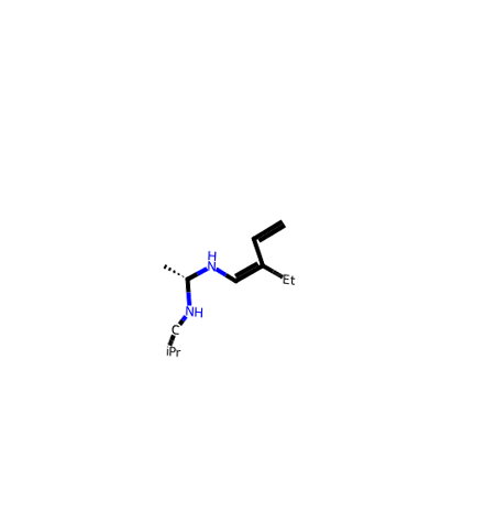 C=C/C(=C\N[C@@H](C)NCC(C)C)CC